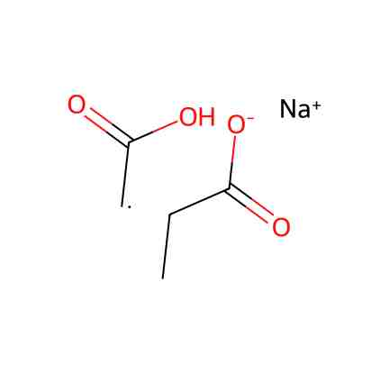 CCC(=O)[O-].[CH2]C(=O)O.[Na+]